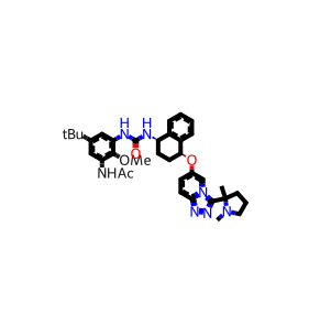 COc1c(NC(C)=O)cc(C(C)(C)C)cc1NC(=O)N[C@H]1CC[C@@H](Oc2ccc3nnc(C4(C)CCCN4C)n3c2)c2ccccc21